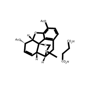 CC(=O)Oc1ccc2c3c1O[C@H]1[C@@H](OC(C)=O)C=C[C@H]4[C@@H](C2)N(C)CC[C@@]341.O=C(O)CCC(=O)O